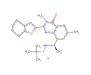 Cc1cc([C@@H](C)N[S@+]([O-])C(C)(C)C)c2nc(-c3cc4ccccc4o3)n(C)c(=O)c2c1